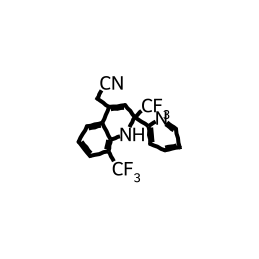 N#CCC1=CC(c2ccccn2)(C(F)(F)F)Nc2c1cccc2C(F)(F)F